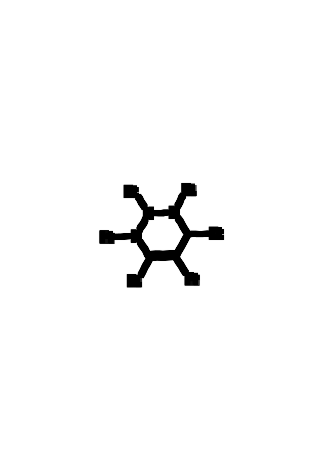 CCC1=C(CC)N(CC)N(CC)N(CC)C1CC